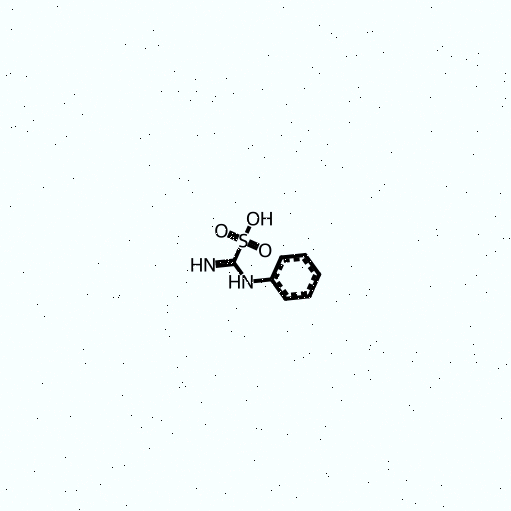 N=C(Nc1ccccc1)S(=O)(=O)O